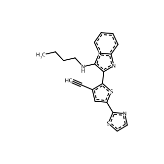 C#Cc1cc(-c2nccs2)sc1-c1nc2ccccn2c1NCCCC